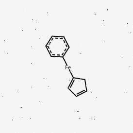 C1=CC[C]([Fe][c]2ccccc2)=C1